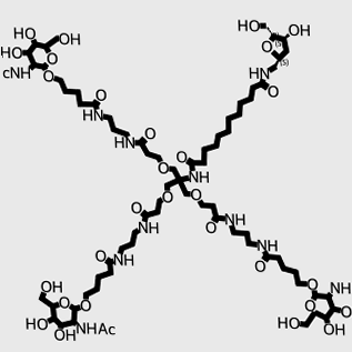 CC(=O)NC1C(OCCCCC(=O)NCCCNC(=O)CCOCC(COCCC(=O)NCCCNC(=O)CCCCOC2OC(CO)C(O)C(O)C2NC(C)=O)(COCCC(=O)NCCCNC(=O)CCCCOC2OC(CO)C(O)C(O)C2NC(C)=O)NC(=O)CCCCCCCCCCC(=O)NC[C@@H]2C[C@H](O)[C@@H](CO)O2)OC(CO)C(O)C1O